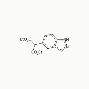 CCOC(=O)C(C(=O)OCC)c1ccc2[nH]ncc2c1